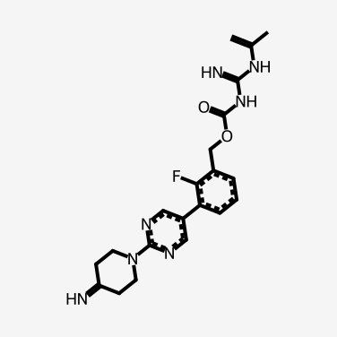 C=C(C)NC(=N)NC(=O)OCc1cccc(-c2cnc(N3CCC(=N)CC3)nc2)c1F